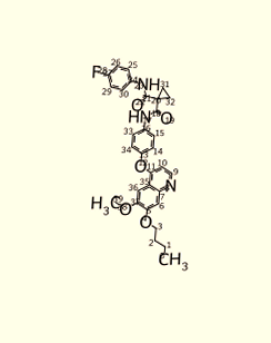 CCCCOc1cc2nccc(Oc3ccc(NC(=O)C4(C(=O)Nc5ccc(F)cc5)CC4)cc3)c2cc1OC